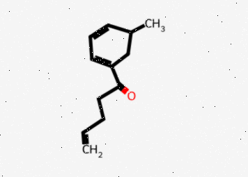 C=CCCC(=O)C1=CC=CC(C)C1